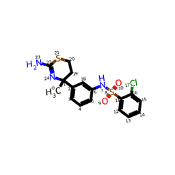 CC1(c2cccc(NS(=O)(=O)c3ccccc3Cl)c2)CCSC(N)=N1